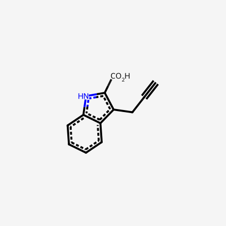 C#CCc1c(C(=O)O)[nH]c2ccccc12